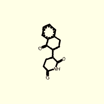 O=C1CCC(C2CCc3ccccc3C2=O)C(=O)N1